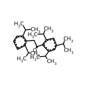 CC(C)c1cc(C(C)C)c(C(=O)Cc2c(C(C)C)cccc2C(C)C)c(C(C)C)c1